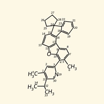 Cc1cc(-c2c(C)ccc3c2oc2ccc4c(c23)-c2ccccc2C42CCCC2)ncc1C(C)C